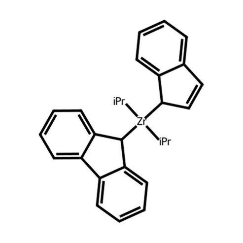 C[CH](C)[Zr]([CH](C)C)([CH]1C=Cc2ccccc21)[CH]1c2ccccc2-c2ccccc21